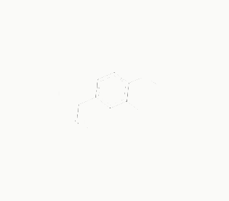 CC[C@@H](N)c1ccc(OC(F)(F)F)c(F)c1